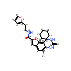 C=C1Nc2c(Cl)cc3cc(C(=O)NCCc4ccco4)oc3c2C2(CCCCC2)N1